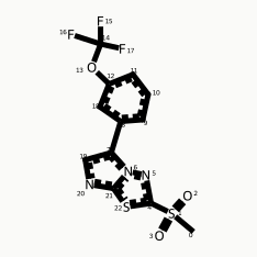 CS(=O)(=O)c1nn2c(-c3cccc(OC(F)(F)F)c3)cnc2s1